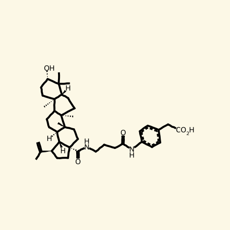 C=C(C)[C@@H]1CC[C@]2(C(=O)NCCCC(=O)Nc3ccc(CC(=O)O)cc3)CC[C@]3(C)[C@H](CCC4[C@@]5(C)CC[C@H](O)C(C)(C)[C@@H]5CC[C@]43C)[C@@H]12